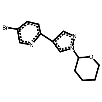 Brc1ccc(-c2cnn(C3CCCCO3)c2)nc1